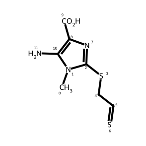 Cn1c(SC[C]=S)nc(C(=O)O)c1N